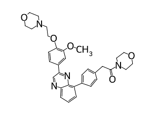 COc1cc(-c2cnc3cccc(-c4ccc(CC(=O)N5CCOCC5)cc4)c3n2)ccc1OCCN1CCOCC1